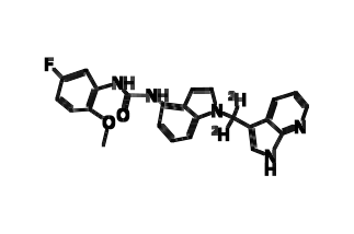 [2H]C([2H])(c1c[nH]c2ncccc12)n1ccc2c(NC(=O)Nc3cc(F)ccc3OC)cccc21